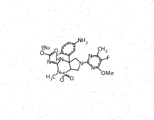 COc1nc(N2CC3C(c4cc(N)ccc4F)(C2)N/C(=N\C(=O)OC(C)(C)C)N(C)S3(=O)=O)nc(C)c1F